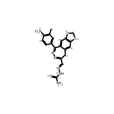 Cc1cc(C2=NN=C(/C=N/NC(N)=O)Cc3cc4c(cc32)OCO4)ccc1[N+](=O)[O-]